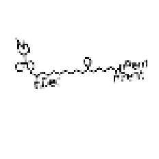 CCCCCCCCCCC(CCCCCCCCC(=O)CCCCC(CCCCC)CCCCC)COC(=O)C1CCN(C)C1